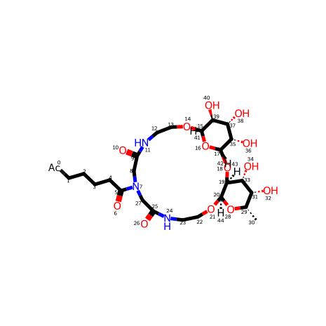 CC(=O)CCCCC(=O)N1CC(=O)NCCO[C@@H]2O[C@@H](O[C@@H]3[C@H](OCCNC(=O)C1)O[C@@H](C)[C@@H](O)[C@H]3O)[C@@H](O)[C@@H](O)[C@@H]2O